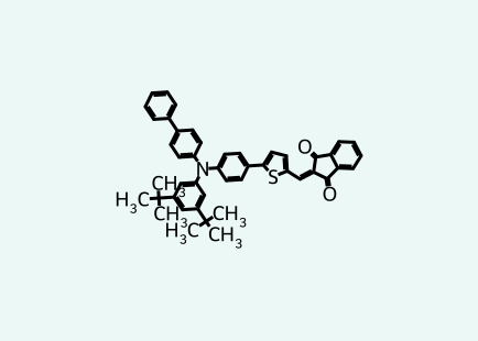 CC(C)(C)c1cc(N(c2ccc(-c3ccccc3)cc2)c2ccc(-c3ccc(C=C4C(=O)c5ccccc5C4=O)s3)cc2)cc(C(C)(C)C)c1